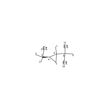 CCC(C)(C)[C@@H]1CC1(C)C(C)(CC)CC